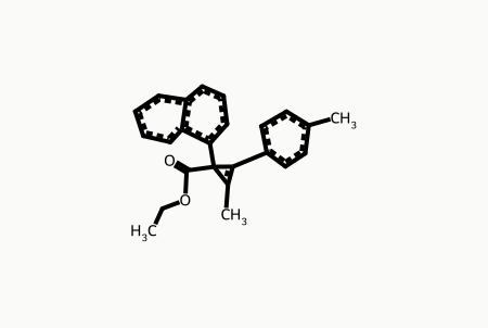 CCOC(=O)C1(c2cccc3ccccc23)C(C)=C1c1ccc(C)cc1